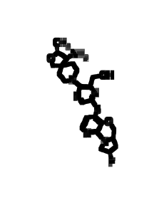 C[C@@H]1OCC2(CCN(c3ncc(Sc4ccnc5c4OCC4C[C@@H](F)CN54)nc3CO)CC2)[C@@H]1N